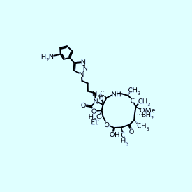 B[C@@H]1[C@H](C)C(=O)[C@@H](C)C(O)O[C@H](CC)[C@@]2(C)OC(=O)N(CCCCn3cc(-c4cccc(N)c4)nn3)[C@@H]2[C@@H](C)NC[C@H](C)C[C@@]1(C)OC